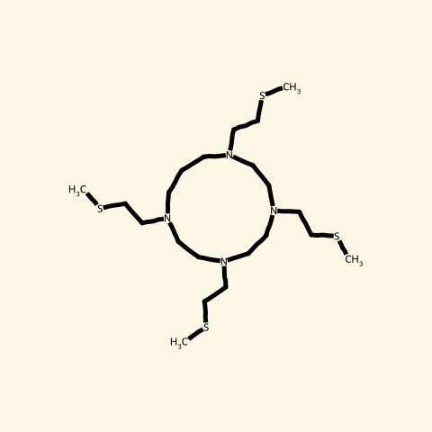 CSCCN1CCCN(CCSC)CCN(CCSC)CCN(CCSC)CC1